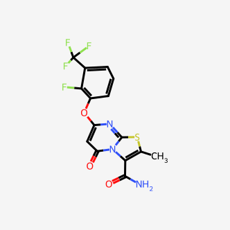 Cc1sc2nc(Oc3cccc(C(F)(F)F)c3F)cc(=O)n2c1C(N)=O